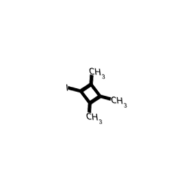 CC1C(C)C(I)C1C